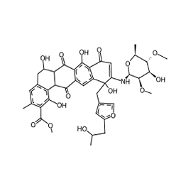 COC(=O)c1c(C)cc2c(c1O)C1C(=O)c3cc4c(c(O)c3C(=O)C1C(O)C2)C(=O)C=C(N[C@H]1O[C@@H](C)[C@H](OC)[C@@H](O)[C@H]1OC)C4(O)Cc1coc(CC(C)O)c1